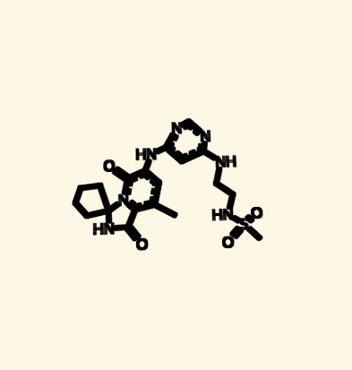 Cc1cc(Nc2cc(NCCNS(C)(=O)=O)ncn2)c(=O)n2c1C(=O)NC21CCCC1